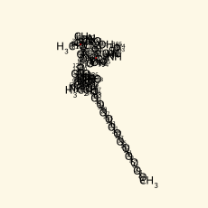 COCCOCCOCCOCCOCCOCCOCCOCCOCCOCCOCCOc1ccc(C[C@@H](C(=O)N[C@H](C(=O)N[C@@H](CCCN)C(=O)N(C(N)=O)c2ccc(COC(=O)N(CCOC34CC5(C)CC(C)(CC(Cn6ncc(-c7ccc(-c8ccc9cccc(C(=O)Nc%10nc%11ccccc%11s%10)c9c8)nc7C(=O)O)c6C)(C5)C3)C4)CCS(=O)(=O)O)cc2)C(C)C)N2C(=O)C=CC2=O)cc1